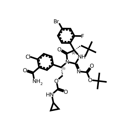 CC(C)(C)C[C@]1(c2ccc(Br)cc2F)NC(=NC(=O)OC(C)(C)C)N([C@H](COC(=O)NC2CC2)c2ccc(Cl)c(C(N)=O)c2)C1=O